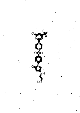 O=C1CC(NCCO)CN1c1ccc(S(=O)(=O)N2CCN(c3cc(C(F)(F)F)cc(Cl)n3)CC2)cc1